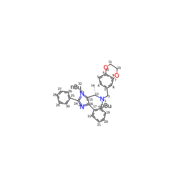 CCCCN(Cc1ccc2c(c1)OCCO2)[C@@H](C)c1c(-c2ccccc2)nc(-c2ccccc2)n1CCCC